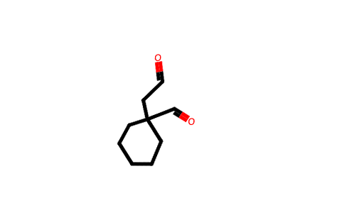 O=CCC1(C=O)CCCCC1